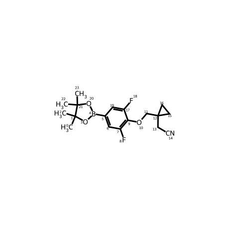 CC1(C)OB(c2cc(F)c(OCC3(CC#N)CC3)c(F)c2)OC1(C)C